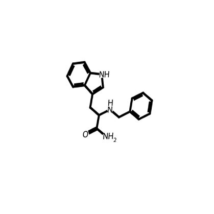 NC(=O)C(Cc1c[nH]c2ccccc12)NCc1ccccc1